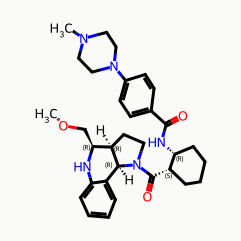 COC[C@@H]1Nc2ccccc2[C@H]2[C@@H]1CCN2C(=O)[C@H]1CCCC[C@H]1NC(=O)c1ccc(N2CCN(C)CC2)cc1